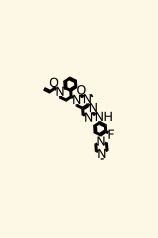 C=CC(=O)N1CCC(N2Cc3cnc(Nc4ccc(N5CCN(C)CC5)c(F)c4)nc3N(C)C2=O)c2ccccc21